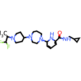 CC(C(F)F)N1CCC(N2CCCN(C3C=CC=C(C(=O)NCC4CC4)N3)CC2)CC1